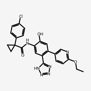 CCOc1ccc(-c2cc(O)c(NC(=O)C3(c4ccc(Cl)cc4)CC3)cc2-c2nnn[nH]2)cn1